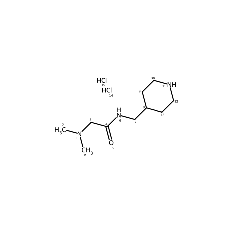 CN(C)CC(=O)NCC1CCNCC1.Cl.Cl